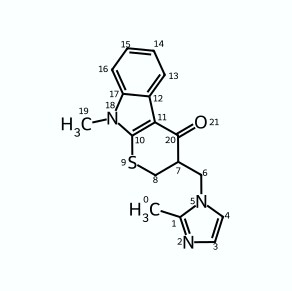 Cc1nccn1CC1CSc2c(c3ccccc3n2C)C1=O